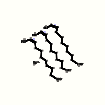 CCCC/C=C\CCCCCCCC(=O)[O-].CCCC/C=C\CCCCCCCC(=O)[O-].CCCC/C=C\CCCCCCCC(=O)[O-].[Nd+3]